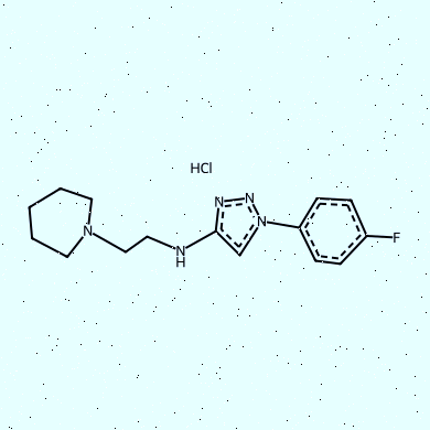 Cl.Fc1ccc(-n2cc(NCCN3CCCCC3)nn2)cc1